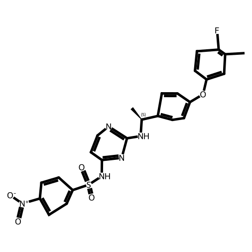 Cc1cc(Oc2ccc([C@H](C)Nc3nccc(NS(=O)(=O)c4ccc([N+](=O)[O-])cc4)n3)cc2)ccc1F